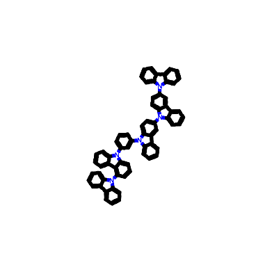 c1cc(-n2c3ccccc3c3cc(-n4c5ccccc5c5cc(-n6c7ccccc7c7ccccc76)ccc54)ccc32)cc(-n2c3ccccc3c3c(-n4c5ccccc5c5ccccc54)cccc32)c1